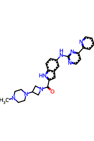 CN1CCN(C2CN(C(=O)c3cc4cc(Nc5nccc(-c6ccccn6)n5)ccc4[nH]3)C2)CC1